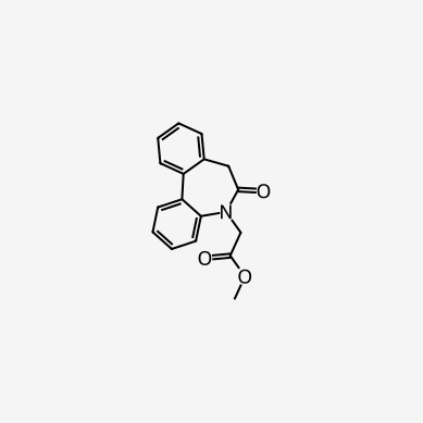 COC(=O)CN1C(=O)Cc2ccccc2-c2ccccc21